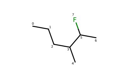 CCCC(C)C(C)F